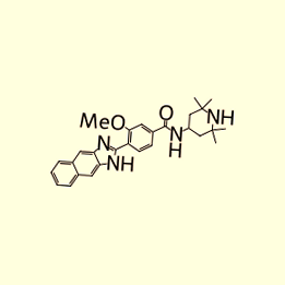 COc1cc(C(=O)NC2CC(C)(C)NC(C)(C)C2)ccc1-c1nc2cc3ccccc3cc2[nH]1